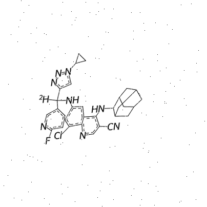 [2H]C(Nc1cc(Cl)c2ncc(C#N)c(NC3C4CC5CC(C4)CC3C5)c2c1)(c1ccc(F)nc1)c1cn(C2CC2)nn1